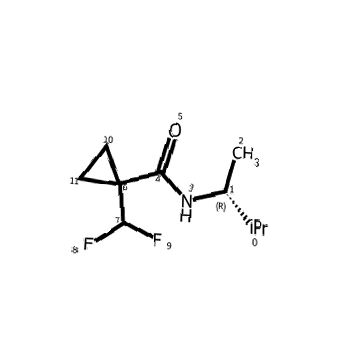 CC(C)[C@@H](C)NC(=O)C1(C(F)F)CC1